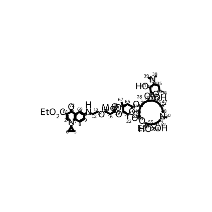 CCOC(=O)c1cn(C2CC2)c2ccc(NCCOCCC(=O)O[C@H]3[C@H](C)O[C@@H](O[C@H]4[C@H](C)[C@@H](O[C@@H]5O[C@H](C)C[C@H](N(C)C)[C@@H]5O)[C@](C)(O)C[C@@H](C)CN(C)[C@H](C)[C@@H](O)[C@](C)(O)[C@@H](CC)OC(=O)[C@@H]4C)C[C@@]3(C)OC)cc2c1=O